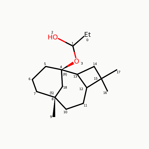 CCC(O)O[C@@]12CCC[C@@](C)(CCC3C1CC3(C)C)C2